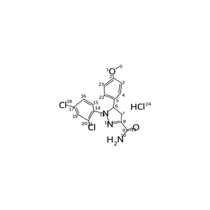 COc1ccc(C2CC(C(N)=O)=NN2c2ccc(Cl)cc2Cl)cc1.Cl